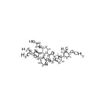 COc1ccc(C23CCC(CN(C(=O)C4CCC(N5CC(O)C5)CC4)c4cc(-c5cnc(C(C)C)o5)ccn4)(CC2)CC3)cc1C